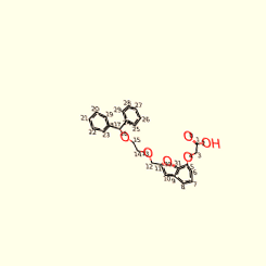 O=C(O)COc1cccc2cc(COCCOC(c3ccccc3)c3ccccc3)oc12